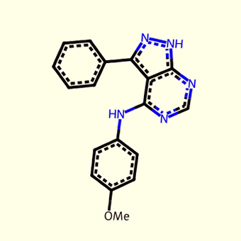 COc1ccc(Nc2ncnc3[nH]nc(-c4ccccc4)c23)cc1